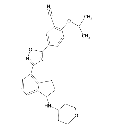 CC(C)Oc1ccc(-c2nc(-c3cccc4c3CCC4NC3CCOCC3)no2)cc1C#N